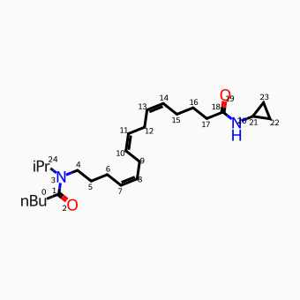 CCCCC(=O)N(CCC/C=C\C/C=C\C/C=C\CCCC(=O)NC1CC1)C(C)C